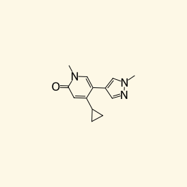 Cn1cc(-c2cn(C)c(=O)cc2C2CC2)cn1